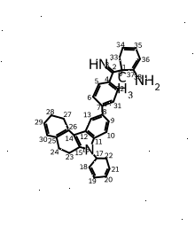 CC1(C(=N)c2ccc(-c3ccc4c(c3)c3c(n4C4C=CC=CC4)CCC4=C3CCC=C4)cc2)CC=CC=C1N